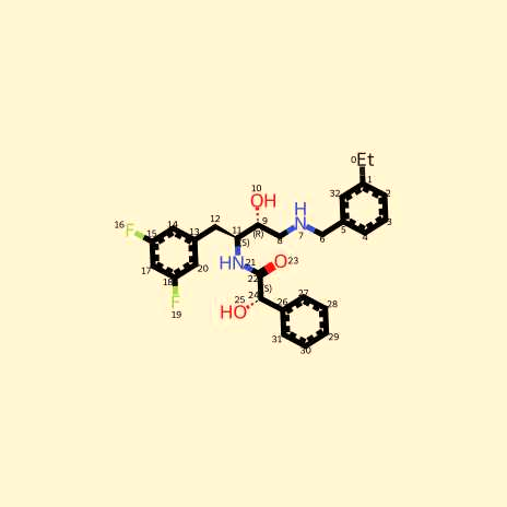 CCc1cccc(CNC[C@@H](O)[C@H](Cc2cc(F)cc(F)c2)NC(=O)[C@@H](O)c2ccccc2)c1